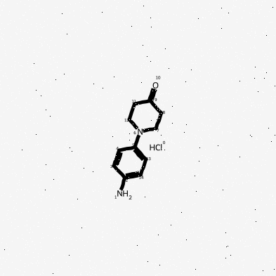 Cl.Nc1ccc(N2CCC(=O)CC2)cc1